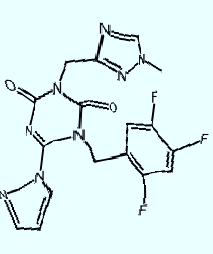 Cn1cnc(Cn2c(=O)nc(-n3cccn3)n(Cc3cc(F)c(F)cc3F)c2=O)n1